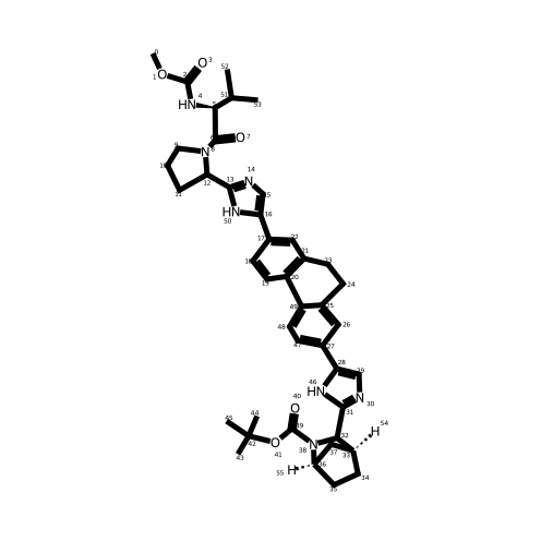 COC(=O)N[C@H](C(=O)N1CCCC1c1ncc(-c2ccc3c(c2)CCc2cc(-c4cnc(C5[C@H]6CC[C@H](C6)N5C(=O)OC(C)(C)C)[nH]4)ccc2-3)[nH]1)C(C)C